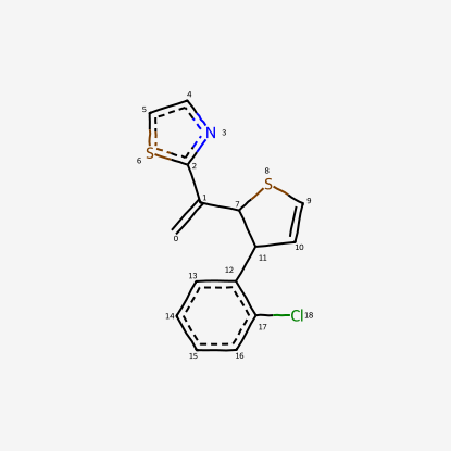 C=C(c1nccs1)C1SC=CC1c1ccccc1Cl